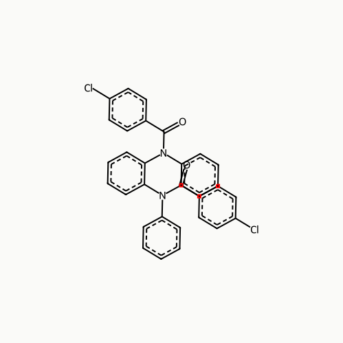 O=C(c1ccc(Cl)cc1)N(c1ccccc1)c1ccccc1N(C(=O)c1ccc(Cl)cc1)c1ccccc1